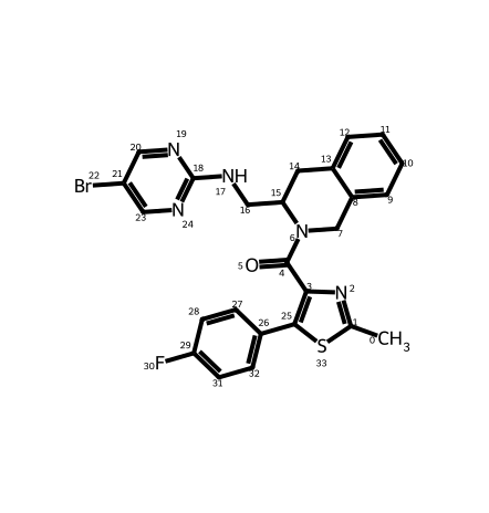 Cc1nc(C(=O)N2Cc3ccccc3CC2CNc2ncc(Br)cn2)c(-c2ccc(F)cc2)s1